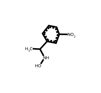 CC(NO)c1cccc([N+](=O)[O-])c1